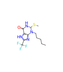 CCCCCN1c2nc(C(F)(F)F)[nH]c2C(=O)NC1SC